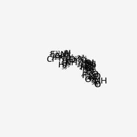 [2H]C1([2H])N(CC2CCN(CCCOc3cc4ncnc(Nc5ccc(F)c(Cl)c5)c4cc3NC(=O)C=C)CC2)C([2H])([2H])C([2H])([2H])N(c2cc(F)c3c(c2F)C(=O)N(C2CCC(=O)NC2=O)C3=O)C1([2H])[2H]